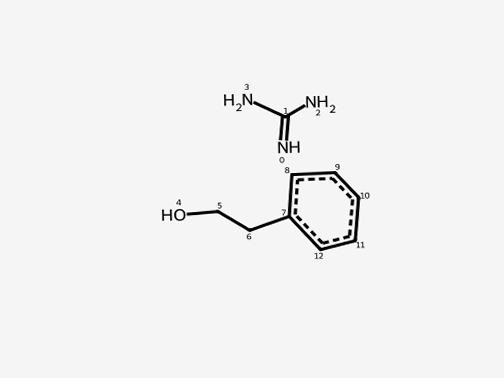 N=C(N)N.OCCc1ccccc1